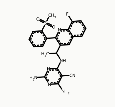 CC(Nc1nc(N)nc(N)c1C#N)c1cc2cccc(F)c2nc1-c1ccccc1S(C)(=O)=O